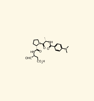 C[C@H](NC(=O)c1ccc(N(C)C)cc1)C(=O)N1CCC[C@H]1C(=O)N[C@H](C=O)CC(=O)O